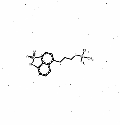 C[Si](C)(C)OCCCc1ccc2c3c(cccc13)NS2(=O)=O